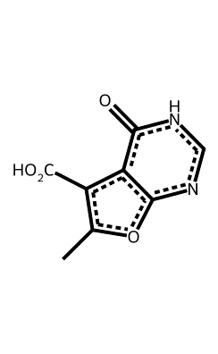 Cc1oc2nc[nH]c(=O)c2c1C(=O)O